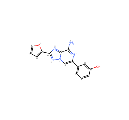 Nc1nc(-c2cccc(O)c2)cn2nc(-c3ccco3)nc12